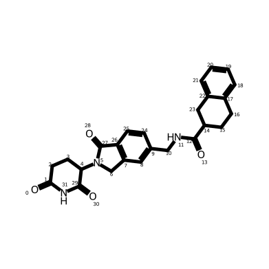 O=C1CCC(N2Cc3cc(CNC(=O)C4CCc5ccccc5C4)ccc3C2=O)C(=O)N1